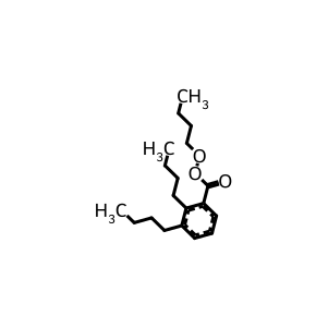 CCCCOOC(=O)c1cccc(CCCC)c1CCCC